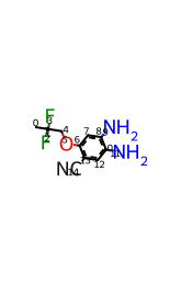 CC(F)(F)COc1cc(N)c(N)cc1C#N